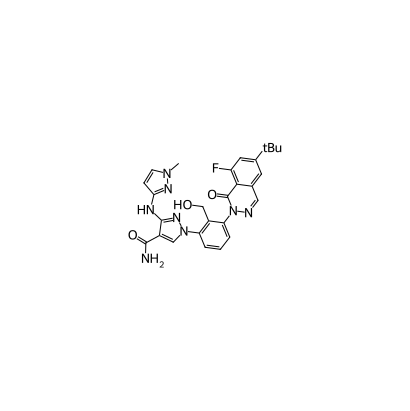 Cn1ccc(Nc2nn(-c3cccc(-n4ncc5cc(C(C)(C)C)cc(F)c5c4=O)c3CO)cc2C(N)=O)n1